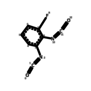 O=C=Nc1cccc(F)c1N=C=O